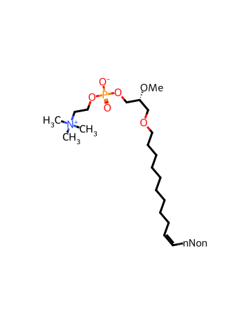 CCCCCCCCC/C=C\CCCCCCCCCOC[C@H](COP(=O)([O-])OCC[N+](C)(C)C)OC